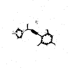 Cc1cc(C)c(C#CC(C)[n+]2cc[nH]c2)c(C)c1.[Br-]